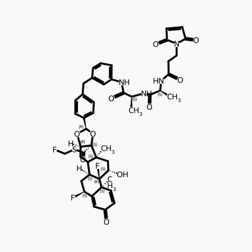 C[C@H](NC(=O)CCN1C(=O)C=CC1=O)C(=O)N[C@@H](C)C(=O)Nc1cccc(Cc2ccc([C@@H]3O[C@@H]4CC5[C@@H]6C[C@H](F)C7=CC(=O)C=C[C@]7(C)[C@@]6(F)[C@@H](O)C[C@]5(C)[C@]4(C(=O)SCF)O3)cc2)c1